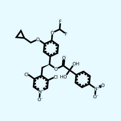 O=C(O[C@@H](Cc1c(Cl)c[n+]([O-])cc1Cl)c1ccc(OC(F)F)c(OCC2CC2)c1)C(O)(O)c1ccc([N+](=O)[O-])cc1